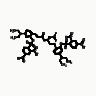 CCN(CC)c1ccc(/C=C/C(=O)/C=C(/C=C/c2ccc(N(CC)CC)cc2OS(=O)(=O)c2ccc([N+](=O)[O-])cc2[N+](=O)[O-])ON(F)F)c(OS(=O)(=O)c2ccc([N+](=O)[O-])cc2[N+](=O)[O-])c1